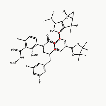 C=Nc1cc(B2OC(C)(C)C(C)(C)O2)ccc1C(=O)N(CC(Cc1cc(F)cc(F)c1)NC(=O)CN1NC(C(F)F)C2=C1C(F)(F)C1C[C@@H]21)c1ccc(Cl)c(C(=N)NSC)c1NC